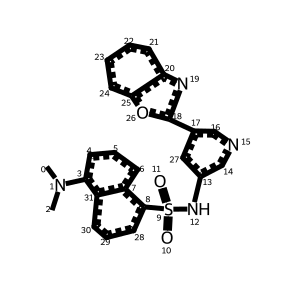 CN(C)c1cccc2c(S(=O)(=O)Nc3cncc(-c4nc5ccccc5o4)c3)cccc12